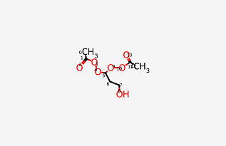 CC(=O)OOC(CCO)OOC(C)=O